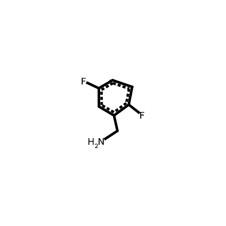 NCc1cc(F)[c]cc1F